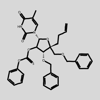 C=CCC[C@]1(COCc2ccccc2)O[C@@H](n2cc(C)c(=O)[nH]c2=O)C(OC(=S)Oc2ccccc2)[C@H]1OCc1ccccc1